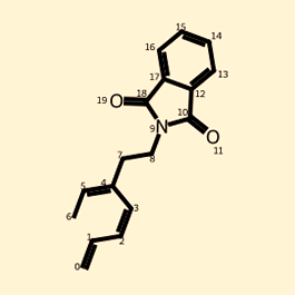 C=C/C=C\C(=C/C)CCN1C(=O)c2ccccc2C1=O